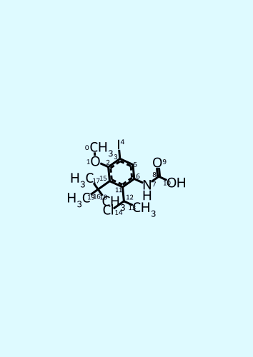 COc1c(I)cc(NC(=O)O)c(C(C)Cl)c1C(C)(C)C